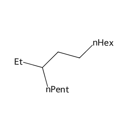 [CH2]CCCCCCCC(CC)CCCC[CH2]